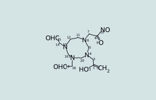 C=C(O)CN1CN(CC(=O)N=O)CCN(CC=O)CN(CC=O)C1